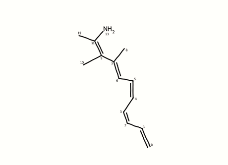 C=C\C=C/C=C\C=C(C)\C(C)=C(\C)N